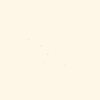 CON=C1C(=O)N(C)c2c1cc([N+](=O)[O-])c1ccccc21